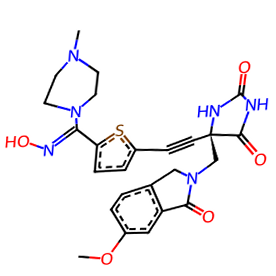 COc1ccc2c(c1)C(=O)N(C[C@@]1(C#Cc3ccc(C(=NO)N4CCN(C)CC4)s3)NC(=O)NC1=O)C2